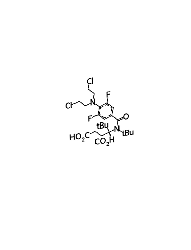 CC(C)(C)N(C(=O)c1cc(F)c(N(CCCl)CCCl)c(F)c1)[C@@](CCC(=O)O)(C(=O)O)C(C)(C)C